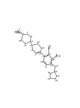 CCCCC1CCC(C2CC=C(c3ccc(CC4CCCC4)c(F)c3F)CC2)CC1